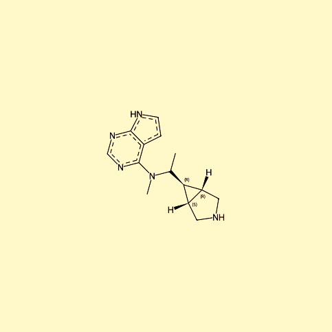 CC([C@H]1[C@@H]2CNC[C@@H]21)N(C)c1ncnc2[nH]ccc12